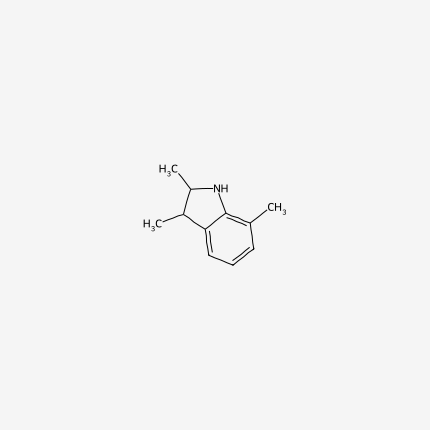 Cc1cccc2c1NC(C)C2C